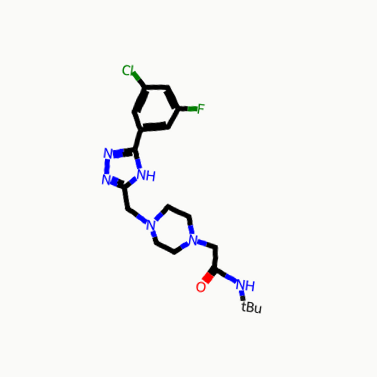 CC(C)(C)NC(=O)CN1CCN(Cc2nnc(-c3cc(F)cc(Cl)c3)[nH]2)CC1